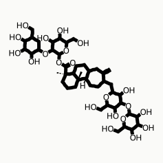 C=C1CC2CCC3[C@](C)(C(=O)OC4OC(CO)C(O)C(O)C4OC4CC(CO)C(O)C(O)C4O)CCC[C@@]3(C)[C@@H]2CCC1CC1OC(CO)C(O)C(OC2OC(CO)C(O)C(O)C2O)C1O